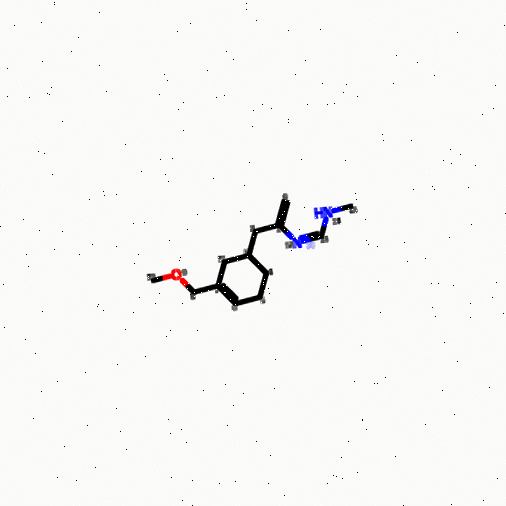 C=C(CC1CCC=C(COC)C1)/N=C\NC